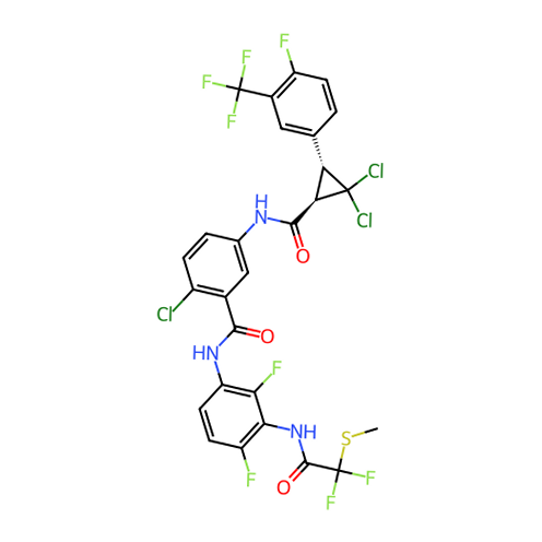 CSC(F)(F)C(=O)Nc1c(F)ccc(NC(=O)c2cc(NC(=O)[C@H]3[C@H](c4ccc(F)c(C(F)(F)F)c4)C3(Cl)Cl)ccc2Cl)c1F